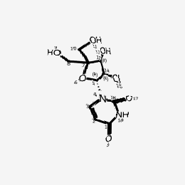 O=c1ccn([C@@H]2OC(CO)(CO)[C@@H](O)[C@H]2Cl)c(=O)[nH]1